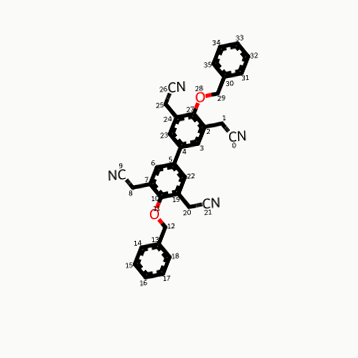 N#CCc1cc(-c2cc(CC#N)c(OCc3ccccc3)c(CC#N)c2)cc(CC#N)c1OCc1ccccc1